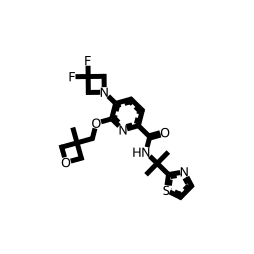 CC1(COc2nc(C(=O)NC(C)(C)c3nccs3)ccc2N2CC(F)(F)C2)COC1